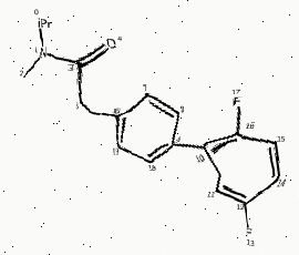 CC(C)N(C)C(=O)Cc1ccc(-c2cc(F)ccc2F)cc1